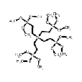 CO[Si](CC[Si](CC[Si](OC)(OC)OC)(CC[Si](OC)(OC)OC)CC[Si](OC)(OC)OC)(OC)OC